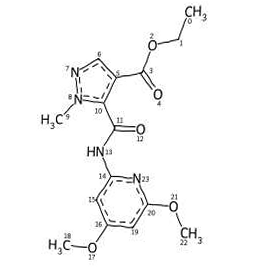 CCOC(=O)c1cnn(C)c1C(=O)Nc1cc(OC)cc(OC)n1